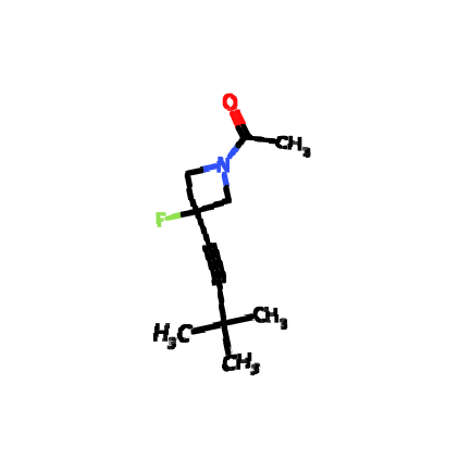 CC(=O)N1CC(F)(C#CC(C)(C)C)C1